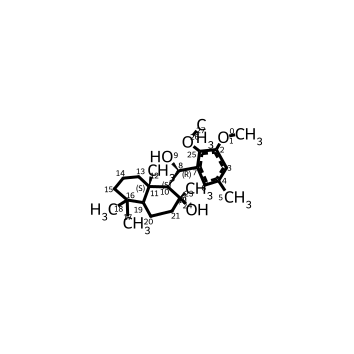 COc1cc(C)cc([C@H](O)[C@@H]2[C@@]3(C)CCCC(C)(C)C3CC[C@@]2(C)O)c1OC